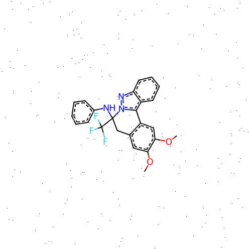 COc1cc2c(cc1OC)-c1c3ccccc3nn1C(Nc1ccccc1)(C(F)(F)F)C2